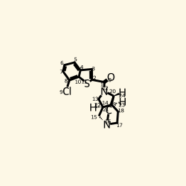 O=C(c1cc2cccc(Cl)c2s1)N1C[C@@H]2C[N@@]3CC[C@@H]2[C@@H]1C3